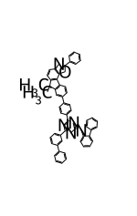 CC1(C)c2cc(-c3ccc(-c4nc(-c5cccc(-c6ccccc6)c5)nc(-n5c6ccccc6c6ccccc65)n4)cc3)ccc2-c2c1ccc1nc(-c3ccccc3)oc21